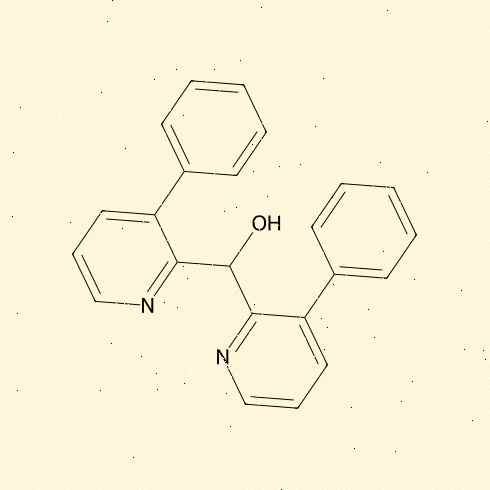 OC(c1ncccc1-c1ccccc1)c1ncccc1-c1ccccc1